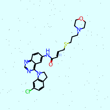 O=C(/C=C/CSCCCN1CCOCC1)Nc1ccc2ncnc(N3CCc4ccc(Cl)cc43)c2c1